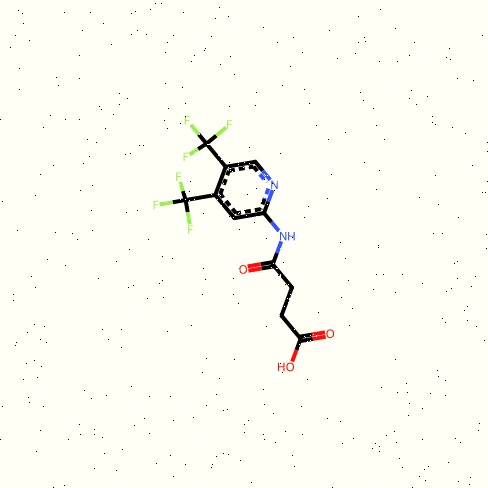 O=C(O)CCC(=O)Nc1cc(C(F)(F)F)c(C(F)(F)F)cn1